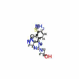 Cn1ncc2nc(N3CC(O)C3)nc(-c3cccc(SN)c3)c21